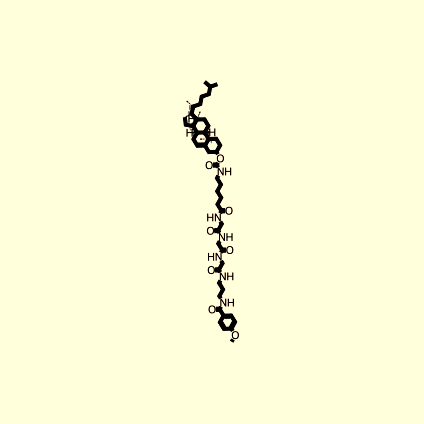 COc1ccc(C(=O)NCCCNC(=O)CNC(=O)CNC(=O)CNC(=O)CCCCCNC(=O)OC2CC[C@@]3(C)C(=CC[C@H]4[C@@H]5CC[C@H]([C@H](C)CCCC(C)C)[C@@]5(C)CC[C@@H]43)C2)cc1